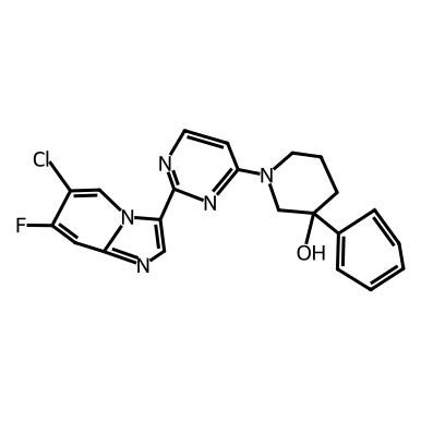 OC1(c2ccccc2)CCCN(c2ccnc(-c3cnc4cc(F)c(Cl)cn34)n2)C1